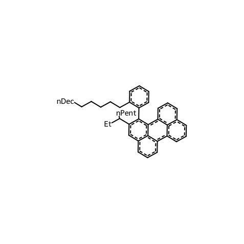 CCCCCCCCCCCCCCCc1ccccc1-c1c(C(CC)CCCCC)cc2cccc3c4cccc5cccc(c1c23)c54